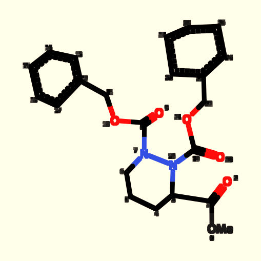 COC(=O)C1CCCN(C(=O)OCc2ccccc2)N1C(=O)OCc1ccccc1